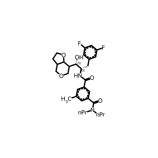 CCCN(CCC)C(=O)c1cc(C)cc(C(=O)N[C@@H](Cc2cc(F)cc(F)c2)[C@@H](O)C2COCC3CCOC32)c1